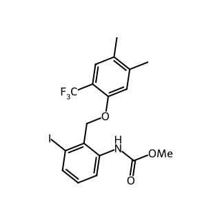 COC(=O)Nc1cccc(I)c1COc1cc(C)c(C)cc1C(F)(F)F